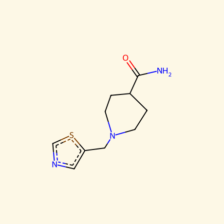 NC(=O)C1CCN(Cc2cncs2)CC1